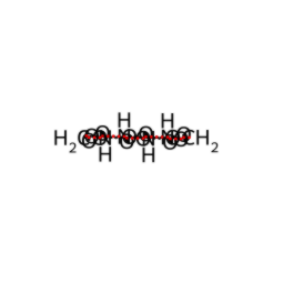 C=CC(=O)OCCOC(=O)NCCCCCCNC(=O)OCCCCOC(=O)NCCCCCCNC(=O)OCCOC(=O)C=C